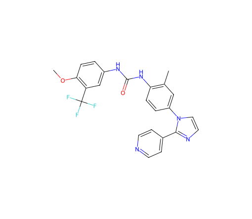 COc1ccc(NC(=O)Nc2ccc(-n3ccnc3-c3ccncc3)cc2C)cc1C(F)(F)F